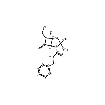 CC1(C)S[C@@H]2C(CCl)C(=O)N2[C@H]1C(=O)OCc1ccccc1